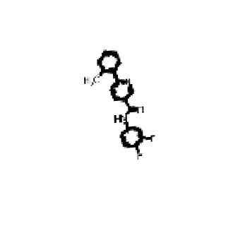 Cc1ccccc1-c1ccc(C(=O)Nc2ccc(F)c(F)c2)cn1